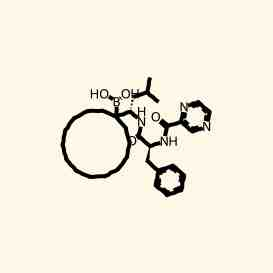 CC(C)C[C@H](NC(=O)[C@H](Cc1ccccc1)NC(=O)c1cnccn1)C1(B(O)O)CCCCCCCCCCCCC1